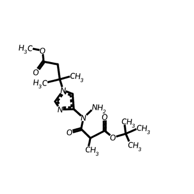 COC(=O)CC(C)(C)n1cnc(N(N)C(=O)C(C)C(=O)OC(C)(C)C)c1